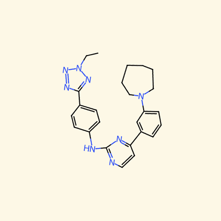 CCn1nnc(-c2ccc(Nc3nccc(-c4cccc(N5CCCCCC5)c4)n3)cc2)n1